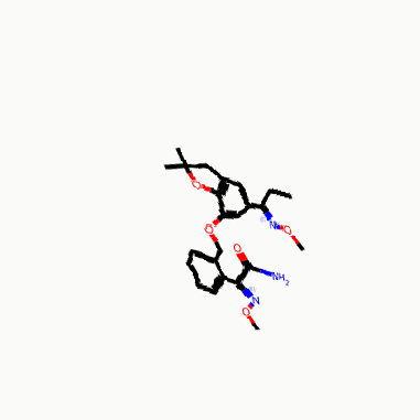 CC/C(=N\OC)c1cc2c(c(OCc3ccccc3/C(=N\OC)C(N)=O)c1)OC(C)(C)C2